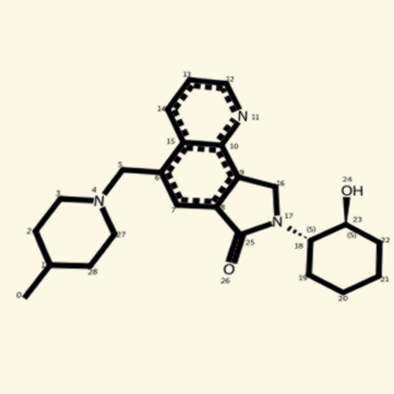 CC1CCN(Cc2cc3c(c4ncccc24)CN([C@H]2CCCC[C@@H]2O)C3=O)CC1